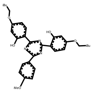 CCC(C)COc1ccc(-c2nc(-c3ccc(OC)cc3)nc(-c3ccc(OCC(C)CC)cc3O)n2)c(O)c1